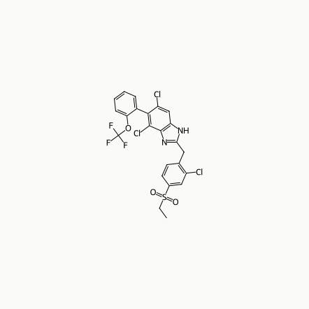 CCS(=O)(=O)c1ccc(Cc2nc3c(Cl)c(-c4ccccc4OC(F)(F)F)c(Cl)cc3[nH]2)c(Cl)c1